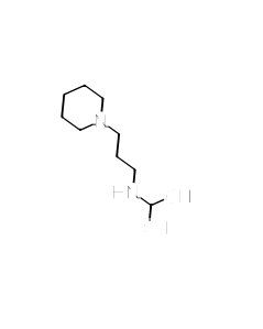 CC(C)NCCCN1CCCCC1